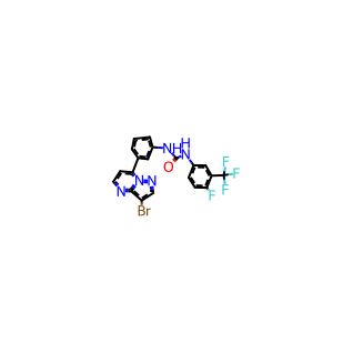 O=C(Nc1cccc(-c2ccnc3c(Br)cnn23)c1)Nc1ccc(F)c(C(F)(F)F)c1